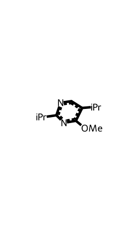 COc1nc(C(C)C)ncc1C(C)C